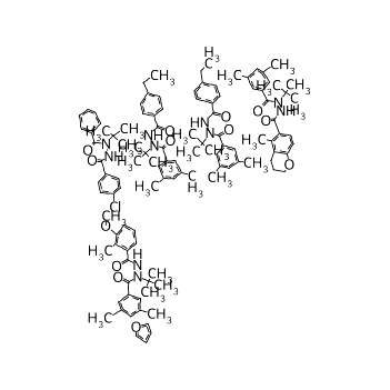 CC(C)(C)N(NC(=O)c1ccc(Cl)cc1)C(=O)c1ccccc1.CCc1ccc(C(=O)NN(C(=O)c2cc(C)cc(C)c2)C(C)(C)C)cc1.CCc1ccc(C(=O)NN(C(=O)c2cc(C)cc(C)c2)C(C)(C)C)cc1.COc1cccc(C(=O)NN(C(=O)c2cc(C)cc(C)c2)C(C)(C)C)c1C.Cc1cc(C)cc(C(=O)N(NC(=O)c2ccc3c(c2C)CCCO3)C(C)(C)C)c1.c1ccoc1